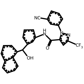 N#Cc1cccc(-n2nc(C(F)(F)F)cc2C(=O)Nc2cccc(C(O)c3cccc4ccccc34)c2)c1